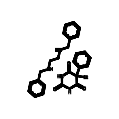 CCC1(c2ccccc2)C(=O)NC(=O)NC1=O.c1ccc(CNCCNCc2ccccc2)cc1